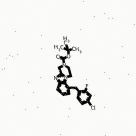 CC(C)(C)OC(=O)N1CCn2c(nc3cccc(Cc4ccc(Cl)cc4F)c32)C1